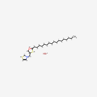 Br.CCCCCCCCCCCCCCCCCC1OCC(CN2C=CSC2)S1